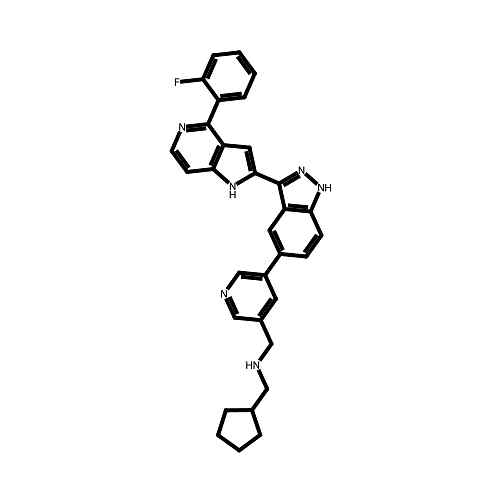 Fc1ccccc1-c1nccc2[nH]c(-c3n[nH]c4ccc(-c5cncc(CNCC6CCCC6)c5)cc34)cc12